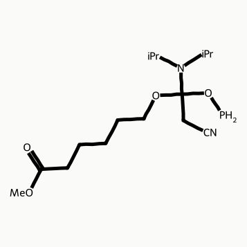 COC(=O)CCCCCOC(CC#N)(OP)N(C(C)C)C(C)C